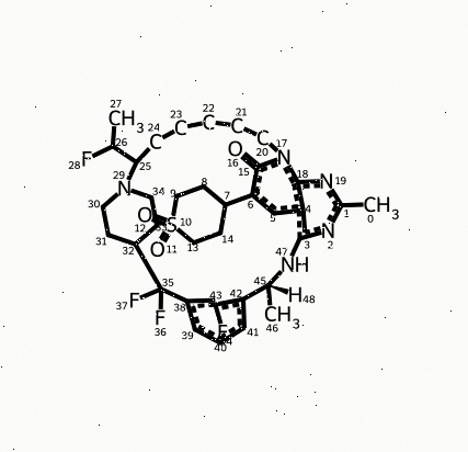 Cc1nc2c3cc(C4CCS(=O)(=O)CC4)c(=O)n(c3n1)CCCCCC(C(C)F)N1CCC(CC1)C(F)(F)c1cccc(c1F)[C@@H](C)N2